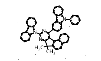 CC1(C)c2ccc3ccccc3c2-c2c(-c3ccc4c(c3)c3ccccc3n4-c3ccccc3)nc(-n3c4ccccc4c4ccccc43)nc21